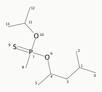 CC(C)CC(C)OP(C)(=S)OC(C)C